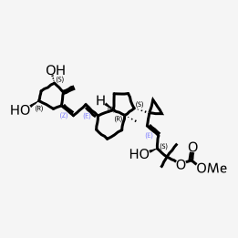 C=C1/C(=C\C=C2/CCC[C@]3(C)[C@@H](C4(/C=C/[C@H](O)C(C)(C)OC(=O)OC)CC4)CC[C@@H]23)C[C@@H](O)C[C@@H]1O